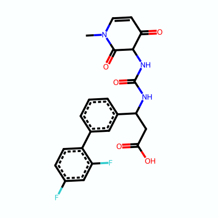 CN1C=CC(=O)C(NC(=O)NC(CC(=O)O)c2cccc(-c3ccc(F)cc3F)c2)C1=O